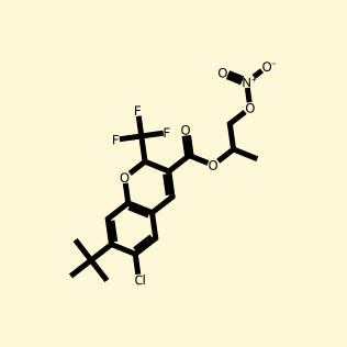 CC(CO[N+](=O)[O-])OC(=O)C1=Cc2cc(Cl)c(C(C)(C)C)cc2OC1C(F)(F)F